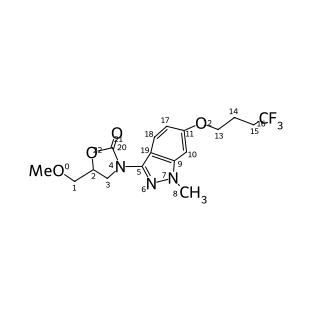 COCC1CN(c2nn(C)c3cc(OCCCC(F)(F)F)ccc23)C(=O)O1